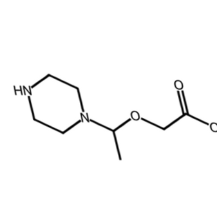 CC(OCC(=O)O)N1CCNCC1